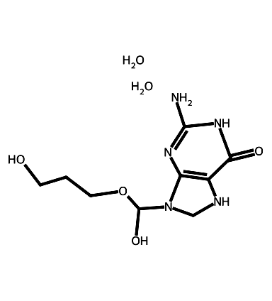 Nc1nc2c(c(=O)[nH]1)NCN2C(O)OCCCO.O.O